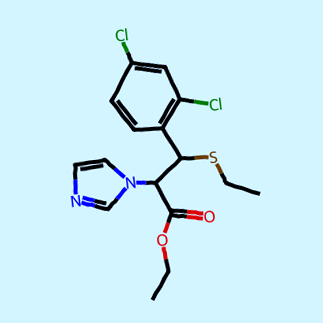 CCOC(=O)C(C(SCC)c1ccc(Cl)cc1Cl)n1ccnc1